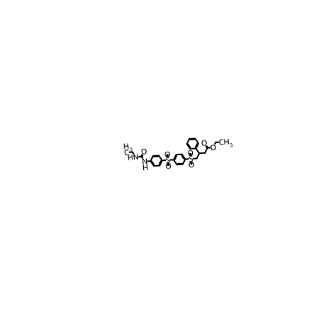 CCNC(=O)Nc1ccc(S(=O)(=O)c2ccc(S(=O)(=O)CC(CC(=O)OCC)c3ccccc3)cc2)cc1